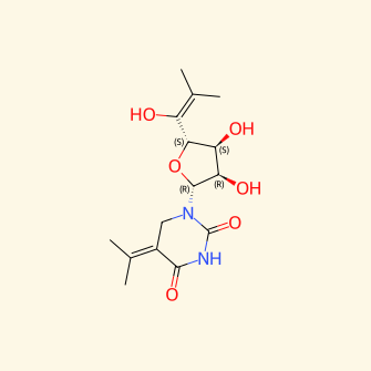 CC(C)=C1CN([C@@H]2O[C@H](C(O)=C(C)C)[C@@H](O)[C@H]2O)C(=O)NC1=O